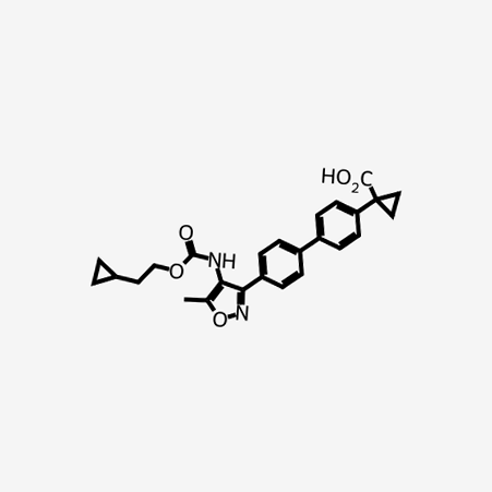 Cc1onc(-c2ccc(-c3ccc(C4(C(=O)O)CC4)cc3)cc2)c1NC(=O)OCCC1CC1